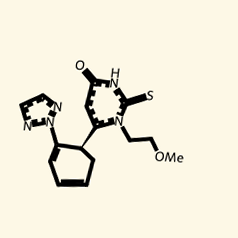 COCCn1c([C@H]2CC=CC=C2n2nccn2)cc(=O)[nH]c1=S